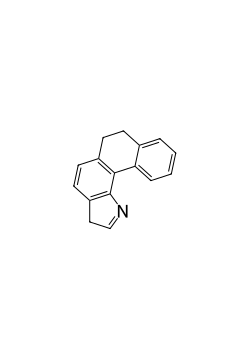 C1=Nc2c(ccc3c2-c2ccccc2CC3)C1